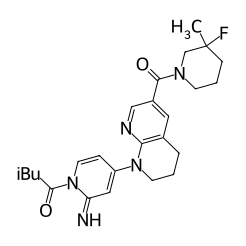 CCC(C)C(=O)n1ccc(N2CCCc3cc(C(=O)N4CCCC(C)(F)C4)cnc32)cc1=N